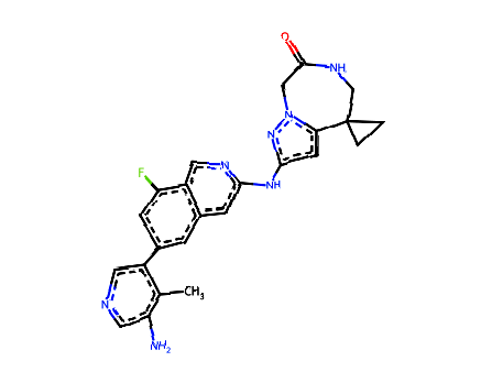 Cc1c(N)cncc1-c1cc(F)c2cnc(Nc3cc4n(n3)CC(=O)NCC43CC3)cc2c1